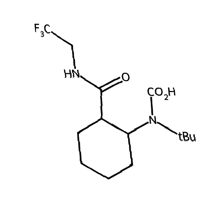 CC(C)(C)N(C(=O)O)C1CCCCC1C(=O)NCC(F)(F)F